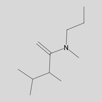 C=C(C(C)C(C)C)N(C)CCC